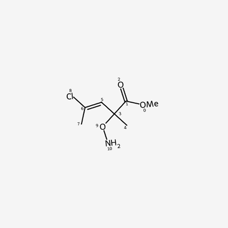 COC(=O)C(C)(/C=C(\C)Cl)ON